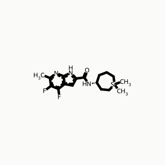 Cc1nc2[nH]c(C(=O)N[C@@H]3CCC[Si](C)(C)CC3)cc2c(F)c1F